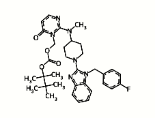 CN(c1nccc(=O)n1COC(=O)OC(C)(C)C(C)(C)C)C1CCN(c2nc3ccccc3n2Cc2ccc(F)cc2)CC1